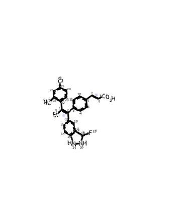 CC/C(=C(/c1ccc(/C=C/C(=O)O)cc1)c1ccc2c(c1)C(F)NN2)c1ccc(Cl)cc1C#N